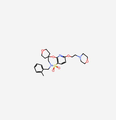 Cc1ccccc1CN1CC2(CCOCC2)Oc2nc(OCCN3CCOCC3)ccc2S1(=O)=O